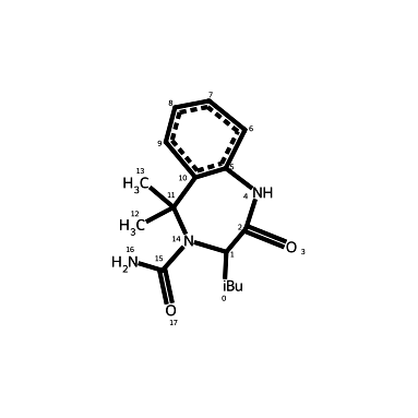 CCC(C)C1C(=O)Nc2ccccc2C(C)(C)N1C(N)=O